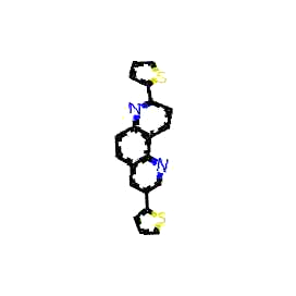 c1csc(-c2cnc3c(ccc4nc(-c5cccs5)ccc43)c2)c1